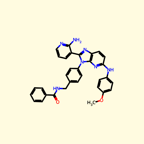 COc1ccc(Nc2ccc3nc(-c4cccnc4N)n(-c4ccc(CNC(=O)c5ccccc5)cc4)c3n2)cc1